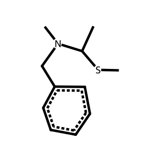 CSC(C)N(C)Cc1ccccc1